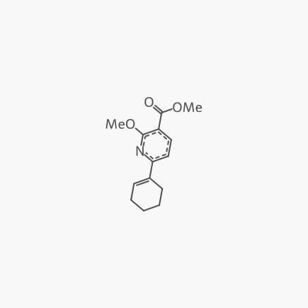 COC(=O)c1ccc(C2=CCCCC2)nc1OC